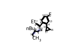 C/C=C(\C=N/C(=CCC)c1ccc(F)cc1C1CC1)CCCC